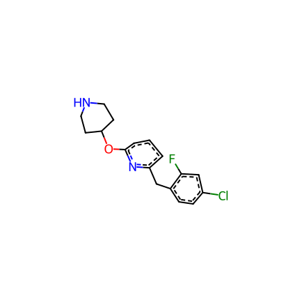 Fc1cc(Cl)ccc1Cc1cccc(OC2CCNCC2)n1